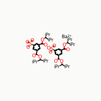 CC(C)C(OC(=O)c1cc(C(=O)OC(C(C)C)C(C)C)cc(S(=O)(=O)[O-])c1)C(C)C.CC(C)C(OC(=O)c1cc(C(=O)OC(C(C)C)C(C)C)cc(S(=O)(=O)[O-])c1)C(C)C.[Ba+2]